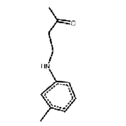 CC(=O)CCNc1cccc(C)c1